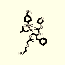 CC(C)CN(C[C@@H](OC(=O)COCCO)[C@H](Cc1ccccc1)NC(=O)O[C@H]1CCOC1)S(=O)(=O)c1ccc(N)cc1